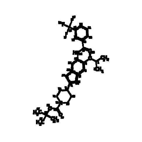 CC(C)Oc1cc2nc(C3CCN(C(=O)OC(C)(C)C)CC3)cn2cc1NC(=O)c1cccc(C(F)(F)F)n1